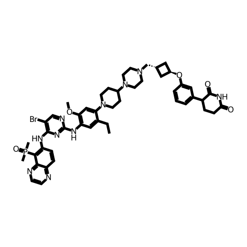 CCc1cc(Nc2ncc(Br)c(Nc3ccc4nccnc4c3P(C)(C)=O)n2)c(OC)cc1N1CCC(N2CCN(C[C@H]3C[C@H](Oc4cccc(C5CCC(=O)NC5=O)c4)C3)CC2)CC1